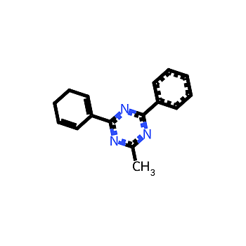 Cc1nc(C2=CCCC=C2)nc(-c2ccccc2)n1